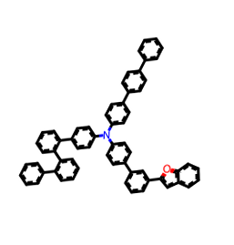 c1ccc(-c2ccc(-c3ccc(N(c4ccc(-c5cccc(-c6cc7ccccc7o6)c5)cc4)c4ccc(-c5ccccc5-c5ccccc5-c5ccccc5)cc4)cc3)cc2)cc1